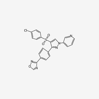 O=S(=O)(c1ccc(Cl)cc1)c1cn(-c2cccnc2)nc1-c1ccc(-c2ncon2)cc1